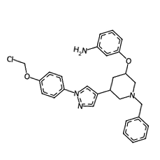 Nc1cccc(OC2CC(c3cnn(-c4ccc(OCCl)cc4)c3)CN(Cc3ccccc3)C2)c1